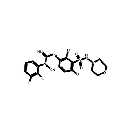 N#CN(C(=N)Nc1ccc(Cl)c(S(=O)(=O)NN2CCSCC2)c1O)c1cccc(Cl)c1Cl